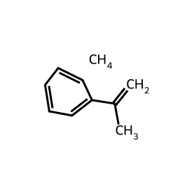 C.C=C(C)c1ccccc1